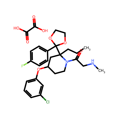 CCCC1(C2(c3ccc(F)cc3)OCCO2)CC(Oc2cccc(Cl)c2)CCN1C(=O)CNC.O=C(O)C(=O)O